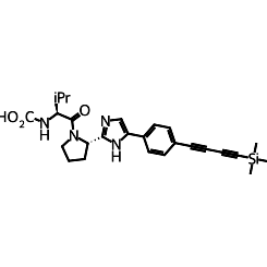 CC(C)[C@H](NC(=O)O)C(=O)N1CCC[C@H]1c1ncc(-c2ccc(C#CC#C[Si](C)(C)C)cc2)[nH]1